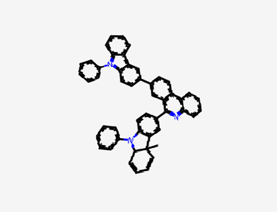 CC12C=CC=CC1N(c1ccccc1)c1ccc(-c3nc4ccccc4c4ccc(-c5ccc6c(c5)c5ccccc5n6-c5ccccc5)cc34)cc12